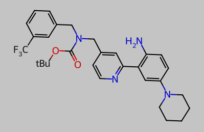 CC(C)(C)OC(=O)N(Cc1cccc(C(F)(F)F)c1)Cc1ccnc(-c2cc(N3CCCCC3)ccc2N)c1